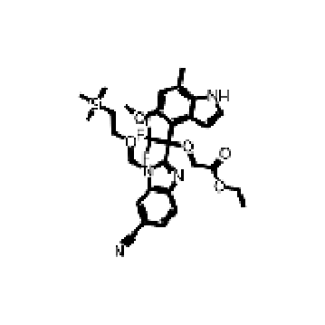 CCOC(=O)COC(c1c(OC)cc(C)c2[nH]ccc12)(c1nc2ccc(C#N)cc2n1COCC[Si](C)(C)C)C(F)(F)F